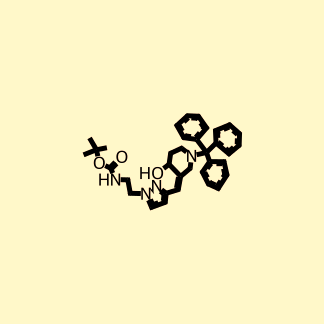 CC(C)(C)OC(=O)NCCn1ccc(/C=C2/CN(C(c3ccccc3)(c3ccccc3)c3ccccc3)CCC2O)n1